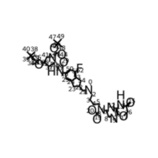 CN(CCC1CN(c2cnc3c(n2)NC(=O)CO3)C(=O)O1)CC1Cc2cc(NC(=O)[C@@H]3C[C@@H](O[Si](C)(C)C(C)(C)C)CN3C(=O)OC(C)(C)C)cc(F)c2C1